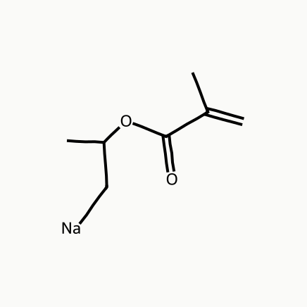 C=C(C)C(=O)OC(C)[CH2][Na]